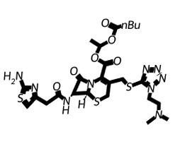 CCCCC(=O)OC(C)OC(=O)C1=C(CSc2nnnn2CCN(C)C)CS[C@H]2[C@H](NC(=O)Cc3csc(N)n3)C(=O)N12